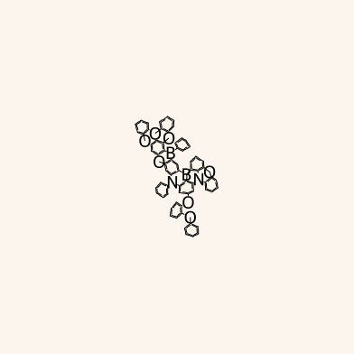 c1ccc(Oc2ccccc2Oc2cc3c4c(c2)Oc2cc5c(cc2B4c2ccccc2O3)B2c3cccc4c3N(c3ccccc3O4)c3cc(Oc4ccccc4Oc4ccccc4)cc(c32)N5c2ccccc2)cc1